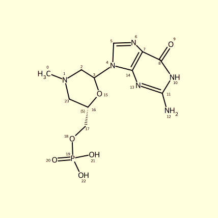 CN1CC(n2cnc3c(=O)[nH]c(N)nc32)O[C@H](COP(=O)(O)O)C1